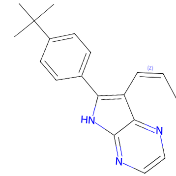 C/C=C\c1c(-c2ccc(C(C)(C)C)cc2)[nH]c2nccnc12